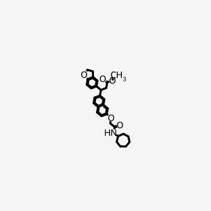 COC(=O)CC(c1ccc2c(c1)CCO2)c1ccc2ccc(OCC(=O)NC3CCCCCC3)cc2c1